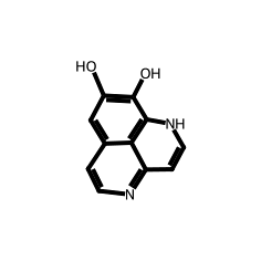 Oc1cc2ccnc3c2c(c1O)NC=C3